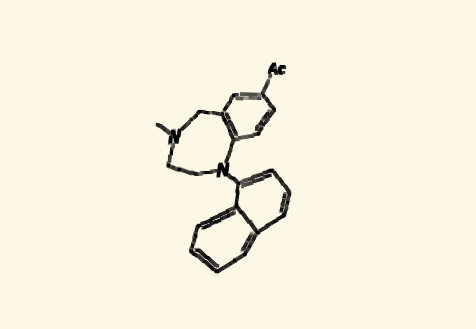 CC(=O)c1ccc2c(c1)CN(C)CCN2c1cccc2ccccc12